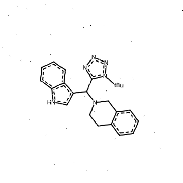 CC(C)(C)n1nnnc1C(c1c[nH]c2ccccc12)N1CCc2ccccc2C1